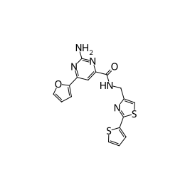 Nc1nc(C(=O)NCc2csc(-c3cccs3)n2)cc(-c2ccco2)n1